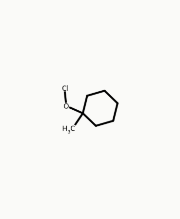 CC1(OCl)CCCCC1